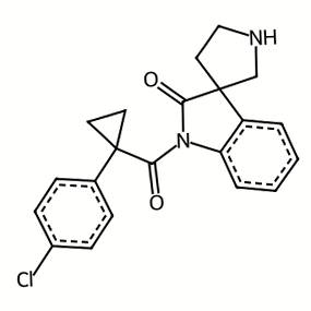 O=C(N1C(=O)C2(CCNC2)c2ccccc21)C1(c2ccc(Cl)cc2)CC1